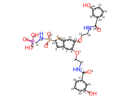 O=C(NCCOc1cc2cc(S(=O)(=O)NCP(=O)(O)O)sc2cc1OCCNC(=O)c1cccc(O)c1)c1cccc(O)c1